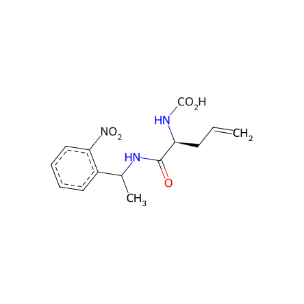 C=CC[C@H](NC(=O)O)C(=O)NC(C)c1ccccc1[N+](=O)[O-]